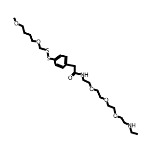 CCNCCOCCOCCOCCNC(=O)Cc1ccc(SSCOCCCCOC)cc1